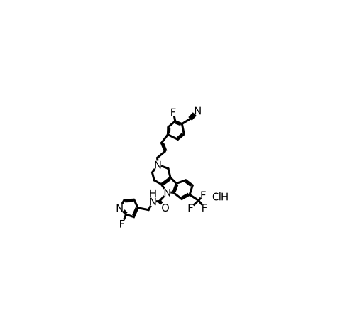 Cl.N#Cc1ccc(/C=C/CN2CCc3c(c4ccc(C(F)(F)F)cc4n3C(=O)NCc3ccnc(F)c3)C2)cc1F